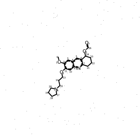 COc1cc2cc3c(nc2cc1OCCCN1CCCC1)CCCC3OC=O